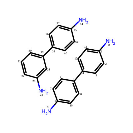 Nc1ccc(-c2ccc(N)cc2)cc1.Nc1ccc(-c2cccc(N)c2)cc1